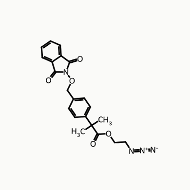 CC(C)(C(=O)OCCN=[N+]=[N-])c1ccc(CON2C(=O)c3ccccc3C2=O)cc1